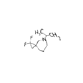 CC(C)N1CCCC2(C1)CC2(F)F